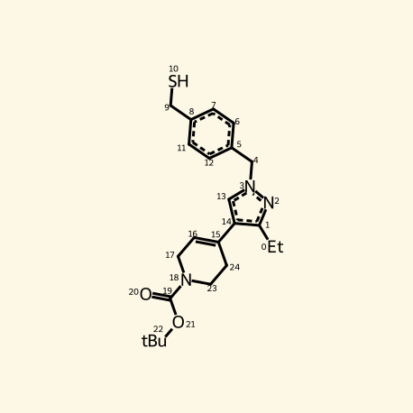 CCc1nn(Cc2ccc(CS)cc2)cc1C1=CCN(C(=O)OC(C)(C)C)CC1